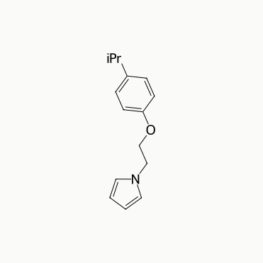 CC(C)c1ccc(OCCn2cccc2)cc1